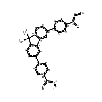 CC1(C)c2ccc(-c3ccc(P(=O)=S=S)cc3)cc2-c2cc(-c3ccc(P(=O)=S=S)cc3)ccc21